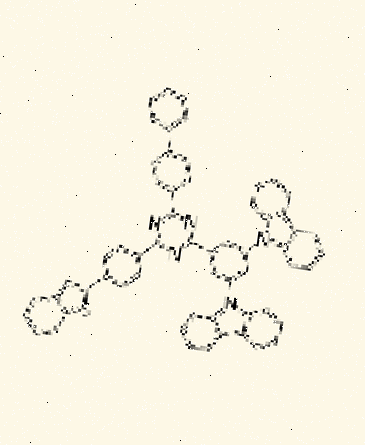 c1ccc(-c2ccc(-c3nc(-c4ccc(-c5cc6ccccc6s5)cc4)nc(-c4cc(-n5c6ccccc6c6ccccc65)cc(-n5c6ccccc6c6ccccc65)c4)n3)cc2)cc1